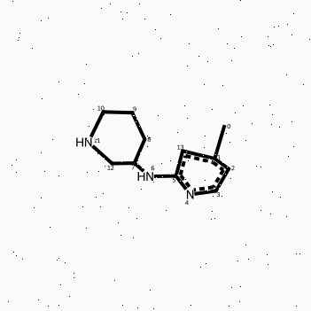 Cc1ccnc(NC2CCCNC2)c1